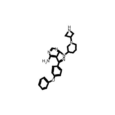 Nc1ncnc2c1c(-c1ccc(Oc3ccccc3)cc1)nn2C1CCCN(C2CNC2)C1